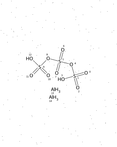 O=S(=O)(O)OS(=O)(=O)OS(=O)(=O)O.[AlH3].[AlH3]